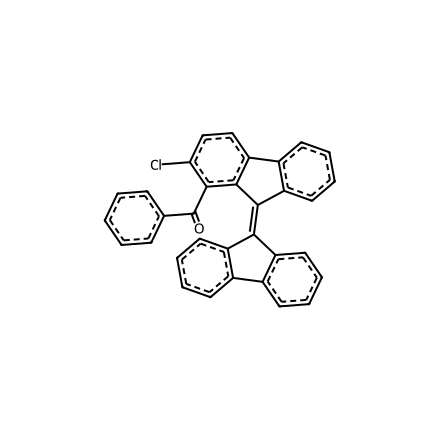 O=C(c1ccccc1)c1c(Cl)ccc2c1C(=C1c3ccccc3-c3ccccc31)c1ccccc1-2